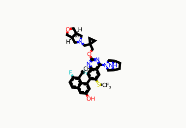 C#Cc1c(F)ccc2cc(O)cc(-c3c(SC(F)(F)F)cc4c(N5CC6CCC(C5)N6)nc(OCC5(CN6C[C@H]7COC[C@H]7C6)CC5)nc4c3F)c12